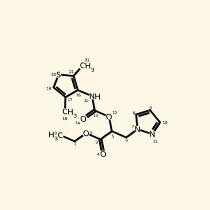 CCOC(=O)C(Cn1cccn1)OC(=O)Nc1c(C)csc1C